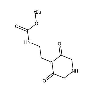 CC(C)(C)OC(=O)NCCN1C(=O)CNCC1=O